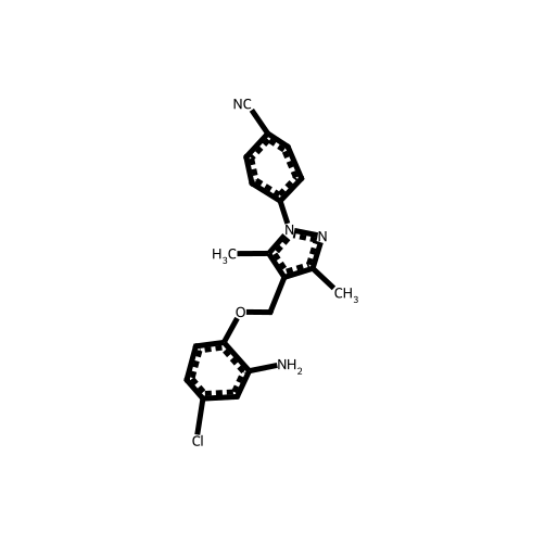 Cc1nn(-c2ccc(C#N)cc2)c(C)c1COc1ccc(Cl)cc1N